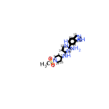 CS(=O)(=O)N1CCC(NC2=NC(N)(c3ccc4cn[nH]c4c3)NC=C2)CC1